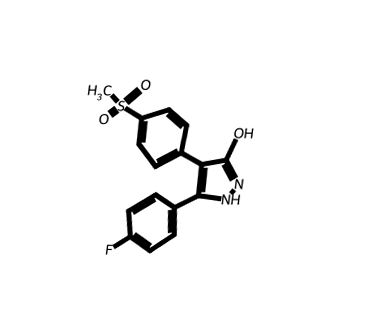 CS(=O)(=O)c1ccc(-c2c(O)n[nH]c2-c2ccc(F)cc2)cc1